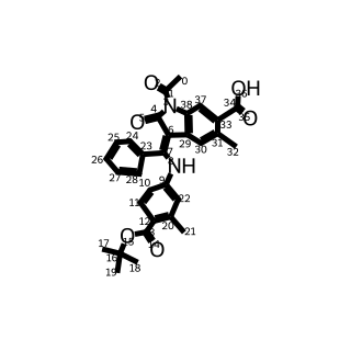 CC(=O)N1C(=O)/C(=C(/Nc2ccc(C(=O)OC(C)(C)C)c(C)c2)c2ccccc2)c2cc(C)c(C(=O)O)cc21